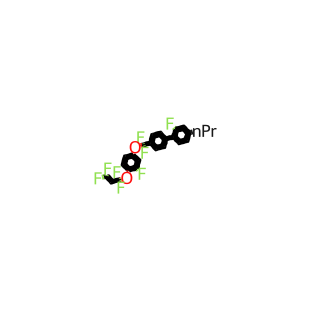 CCCc1ccc(-c2ccc(C(F)(F)Oc3ccc(OC(F)(F)C=C(F)F)c(F)c3)cc2)c(F)c1